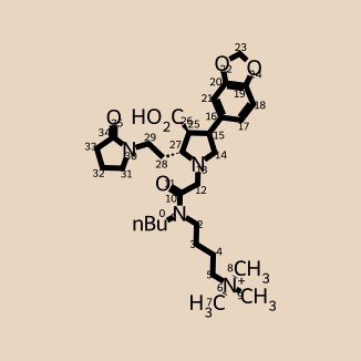 CCCCN(CCCC[N+](C)(C)C)C(=O)CN1CC(c2ccc3c(c2)OCO3)[C@H](C(=O)O)[C@H]1CCN1CCCC1=O